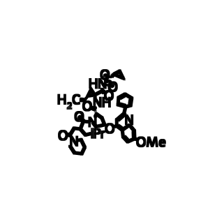 C=C[C@H]1C[C@]1(NC(=O)[C@@H]1C[C@@H](Oc2cc(-c3ccccc3)nc3cc(OC)ccc23)CN1C(=O)C(CC(=O)N1CCCCC1)CC(C)C)C(=O)NS(=O)(=O)C1CC1